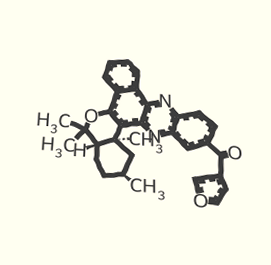 C[C@H]1CC[C@@H]2C(C)(C)Oc3c(c4nc5cc(C(=O)c6ccoc6)ccc5nc4c4ccccc34)[C@@]2(C)C1